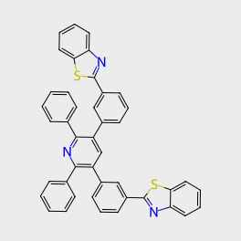 c1ccc(-c2nc(-c3ccccc3)c(-c3cccc(-c4nc5ccccc5s4)c3)cc2-c2cccc(-c3nc4ccccc4s3)c2)cc1